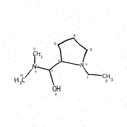 CCN1CCCC1C(O)N(C)C